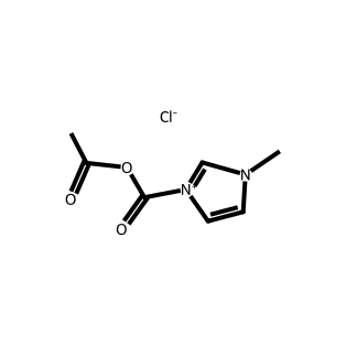 CC(=O)OC(=O)[n+]1ccn(C)c1.[Cl-]